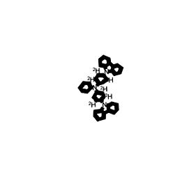 [2H]c1cc(N(c2ccccc2)c2cc([2H])c(-n3c4ccccc4c4ccccc43)c([2H])c2[2H])c([2H])c([2H])c1-n1c2ccccc2c2ccccc21